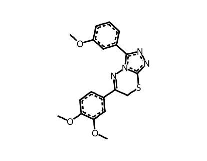 COc1cccc(-c2nnc3n2N=C(c2ccc(OC)c(OC)c2)CS3)c1